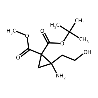 COC(=O)C1(C(=O)OC(C)(C)C)CC1(N)CCO